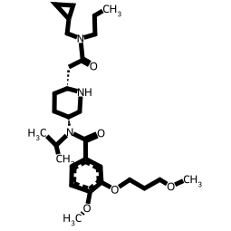 CCCN(CC1CC1)C(=O)C[C@H]1CC[C@@H](N(C(=O)c2ccc(OC)c(OCCCOC)c2)C(C)C)CN1